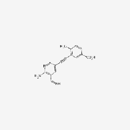 Cc1ccc(C(=O)O)cc1C#Cc1cnc(N)c(C=N)c1